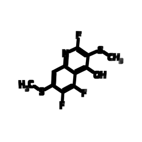 CSc1cc2nc(F)c(SC)c(O)c2c(F)c1F